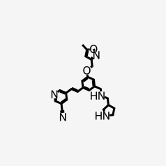 Cc1cc(COc2cc(/C=C/c3cncc(C#N)c3)cc(CNCC3CCNC3)c2)no1